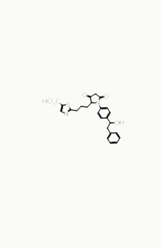 O=C(O)c1cnc(CCCC2C(=O)CC(=O)N2c2ccc(C(O)Cc3ccccc3)cc2)s1